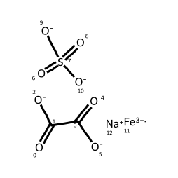 O=C([O-])C(=O)[O-].O=S(=O)([O-])[O-].[Fe+3].[Na+]